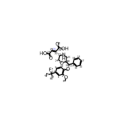 COc1cc(C(F)(F)F)ccc1O[C@@H](c1ccccc1)[C@@H]1CNCCO1.O=C(O)/C=C/C(=O)O